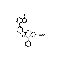 CO[C@H]1CN[C@@H](C(NC(=O)C2=CN(c3ncnc4[nH]ccc34)CCS2)c2ccccc2)C1